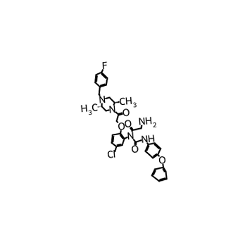 C[C@@H]1CN(Cc2ccc(F)cc2)[C@@H](C)CN1C(=O)COc1ccc(Cl)cc1N(C(=O)CN)C(=O)Nc1ccc(Oc2ccccc2)cc1